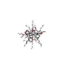 CCCCc1cccc(P(c2cccc(CCCC)c2CCCC)C(CCCC)C(P(c2cccc(CCCC)c2CCCC)c2cccc(CCCC)c2CCCC)(P(c2cccc(CCCC)c2CCCC)c2cccc(CCCC)c2CCCC)P(c2cccc(CCCC)c2CCCC)c2cccc(CCCC)c2CCCC)c1CCCC